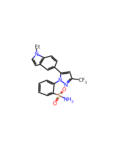 CCn1ccc2cc(-c3cc(C(F)(F)F)nn3-c3ccccc3S(N)(=O)=O)ccc21